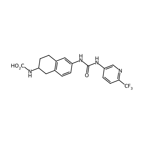 O=C(O)NC1CCc2cc(NC(=O)Nc3ccc(C(F)(F)F)nc3)ccc2C1